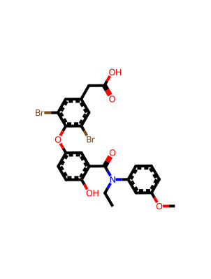 CCN(C(=O)c1cc(Oc2c(Br)cc(CC(=O)O)cc2Br)ccc1O)c1cccc(OC)c1